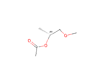 COC[C@@H](C)OC(C)=O